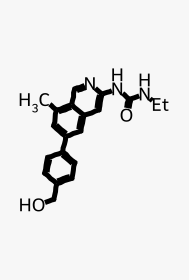 CCNC(=O)Nc1cc2cc(-c3ccc(CO)cc3)cc(C)c2cn1